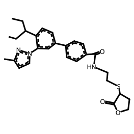 CCC(CC)c1ccc(-c2ccc(C(=O)NCCSC3CCOC3=O)cc2)cc1-n1ccc(C)n1